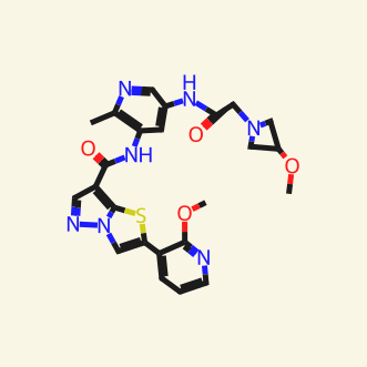 COc1ncccc1-c1cn2ncc(C(=O)Nc3cc(NC(=O)CN4CC(OC)C4)cnc3C)c2s1